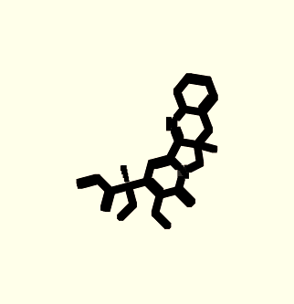 C=CC(=C)[C@](C)(CC)C1=C(CC)C(=C)N2CC3(C)CC4=CC=CCC4N=C3C2=C1